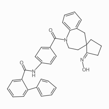 O=C(Nc1ccc(C(=O)N2CCC3(CCCC3=NO)Cc3ccccc32)cc1)c1ccccc1-c1ccccc1